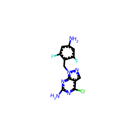 Nc1cc(F)c(Cn2ncc3c(Cl)nc(N)nc32)c(F)c1